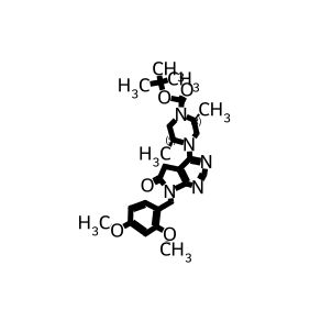 COc1ccc(CN2C(=O)Cc3c2ncnc3N2C[C@@H](C)N(C(=O)OC(C)(C)C)C[C@@H]2C)c(OC)c1